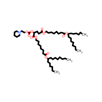 CCCCCCCCC(CCCCCC)OC(=O)CCCCCCCOC(=O)CCC(OC(=O)OCCN1CCCCC1)C(=O)OCCCCCCCC(=O)OC(CCCCCC)CCCCCCCC